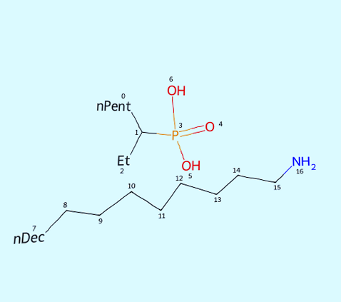 CCCCCC(CC)P(=O)(O)O.CCCCCCCCCCCCCCCCCCN